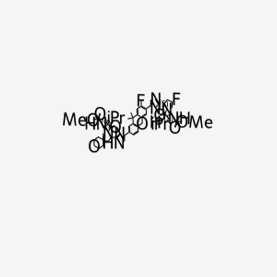 COC(=O)N[C@H](C(=O)N1CC2(CCOCC2)CC1c1nc(-c2ccc3c(c2)C(C)(C)c2cc(F)c(-c4cnc([C@@H]5CC(F)CN5C(=O)[C@@H](NC(=O)OC)C(C)C)[nH]4)cc2O3)c[nH]1)C(C)C